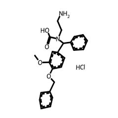 COc1cc(C(c2ccccc2)N(CCN)C(=O)O)ccc1OCc1ccccc1.Cl